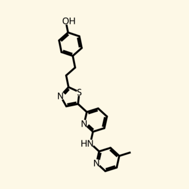 Cc1ccnc(Nc2cccc(-c3cnc(CCc4ccc(O)cc4)s3)n2)c1